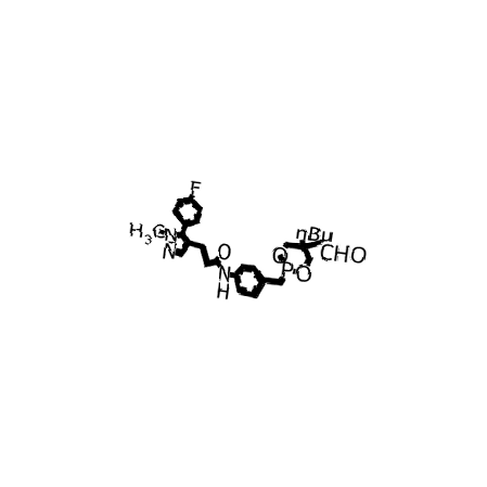 CCCCC1(CC=O)COP(Cc2ccc(NC(=O)/C=C/c3cnn(C)c3-c3ccc(F)cc3)cc2)OC1